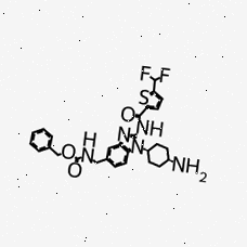 N[C@H]1CC[C@@H](n2c(NC(=O)c3ccc(C(F)F)s3)nc3cc(CNC(=O)OCc4ccccc4)ccc32)CC1